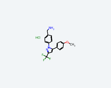 COc1ccc(-c2cc(C(F)(F)F)nn2-c2ccc(CN)cc2)cc1.Cl